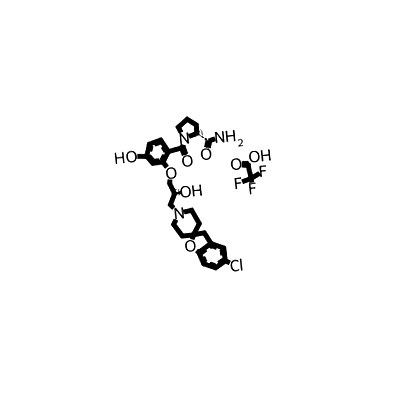 NC(=O)[C@H]1CCCN1C(=O)c1ccc(O)cc1OC[C@@H](O)CN1CCC2(CC1)Cc1cc(Cl)ccc1O2.O=C(O)C(F)(F)F